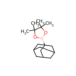 CC1(C)OB(C23CC4CC(CC(C4)C2)C3)OC1(C)C